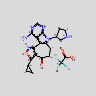 Nc1ncnc2c1c1c(n2C2CCNC2)CCC(=O)c2c-1noc2C1CC1.O=C(O)C(F)(F)F